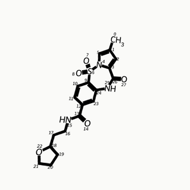 Cc1cc2n(c1)S(=O)(=O)c1ccc(C(=O)NCCC3CCCO3)cc1NC2=O